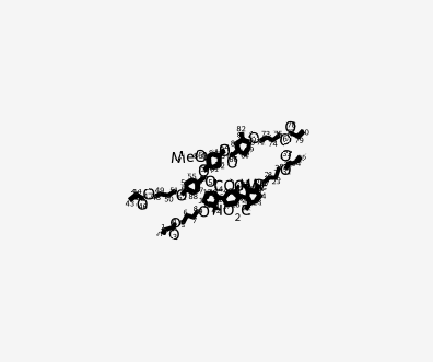 C=CC(=O)OCCCCOc1ccc(C(=O)O)c(-c2ccc(-c3c(C(=O)O)ccc(OCCCCOC(=O)C=C)c3C)c(OC)c2)c1C.C=CC(=O)OCCCCOc1ccc(C(=O)Oc2ccc(OC(=O)c3ccc(OCCCCOC(=O)C=C)c(C)c3)cc2OC)cc1